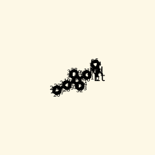 CCc1nc2ccccc2n1-c1ccc(-c2c3c(c(-c4ccc(-c5ccccc5)cc4)c4ccccc24)C=CCC3)cc1